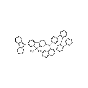 CC1(C)c2cc(N(c3ccc4c(c3)C3(c5ccccc5-c5ccccc53)c3ccccc3-4)c3cccc4ccccc34)ccc2-c2ccc(-n3c4ccccc4c4ccccc43)cc21